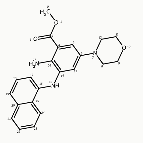 COC(=O)c1cc(N2CCOCC2)cc(Nc2cccc3ccccc23)c1N